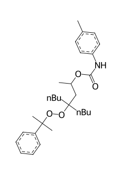 CCCCC(CCCC)(CC(C)OC(=O)Nc1ccc(C)cc1)OOC(C)(C)c1ccccc1